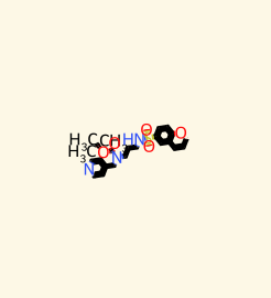 CC(C)(C)OC(=O)N(CCCNS(=O)(=O)c1ccc2c(c1)C=CCO2)Cc1ccncc1